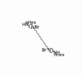 CCCCCCNc1cc[n+](C(Br)CCCCCCCCCCCCC(Br)[n+]2ccc(NCCCCCC)cc2)cc1